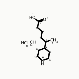 CC(CCCC(=O)O)C1CCNCC1.Cl.Cl